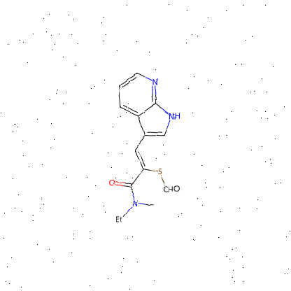 CCN(C)C(=O)/C(=C/c1c[nH]c2ncccc12)SC=O